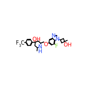 CC1CC(O)(c2ccc(C(F)(F)F)cc2)CC(COc2cc(F)c3c(c2)ncn3C2CC(C)(O)C2)N1